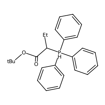 CCC(C(=O)OC(C)(C)C)[PH](c1ccccc1)(c1ccccc1)c1ccccc1